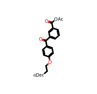 CCCCCCCCCCCCOc1ccc(C(=O)c2cccc(C(=O)OC(C)=O)c2)cc1